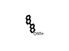 COc1ccc2cc(-c3ccc4ccccc4c3)ccc2c1